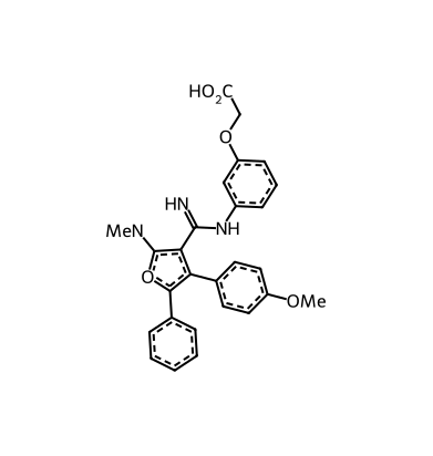 CNc1oc(-c2ccccc2)c(-c2ccc(OC)cc2)c1C(=N)Nc1cccc(OCC(=O)O)c1